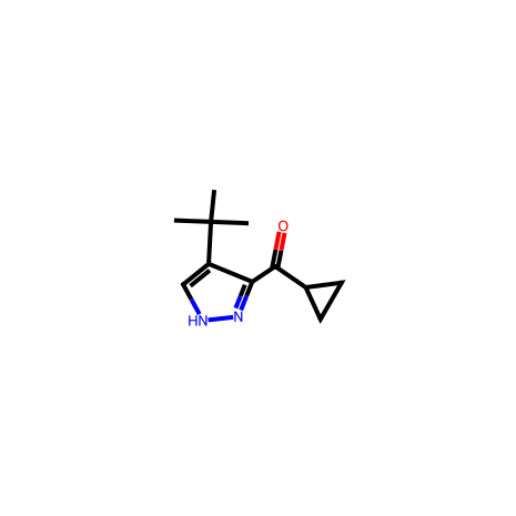 CC(C)(C)c1c[nH]nc1C(=O)C1CC1